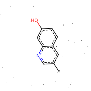 Cc1cnc2cc(O)ccc2c1